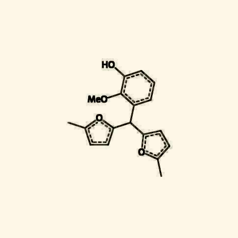 COc1c(O)cccc1C(c1ccc(C)o1)c1ccc(C)o1